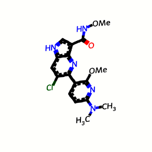 CONC(=O)c1c[nH]c2cc(Cl)c(-c3ccc(N(C)C)nc3OC)nc12